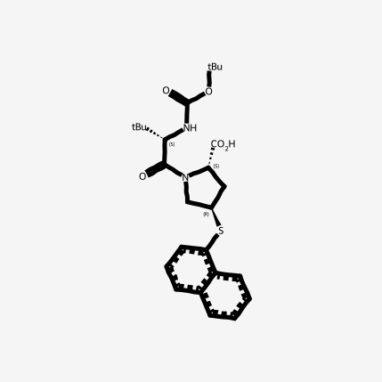 CC(C)(C)OC(=O)N[C@H](C(=O)N1C[C@H](Sc2cccc3ccccc23)C[C@H]1C(=O)O)C(C)(C)C